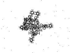 CC[C@@H]1O[C@H](O[C@H]2[C@@H](O)[C@H](O[C@@H]3[C@@H](O)[C@H](CC(=O)[C@@H](O)CCNC(=O)OCc4ccccc4)C[C@H](NC(=O)OCc4ccccc4)[C@H]3O[C@H]3O[C@H](CN4C(=O)c5ccccc5C4=O)[C@@H]4O[C@@H]4[C@H]3NC(=O)OCc3ccccc3)O[C@@H]2CO)[C@H](NC(=O)OCc2ccccc2)[C@@H](O)[C@@H]1O